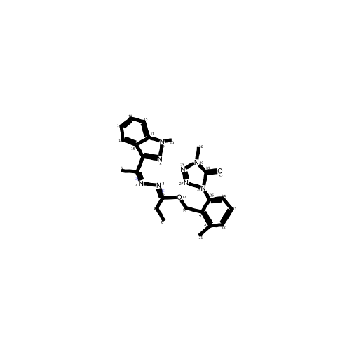 CC/C(=N\N=C(\C)c1nn(C)c2ccccc12)OCc1c(C)cccc1-n1nnn(C)c1=O